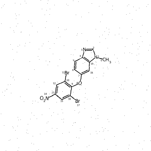 Cn1cnc2ccc(Oc3c(Br)cc([N+](=O)[O-])cc3Br)cc21